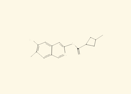 CC1CC(C(=O)Nc2cc3cc(Br)c(Cl)cc3cn2)C1